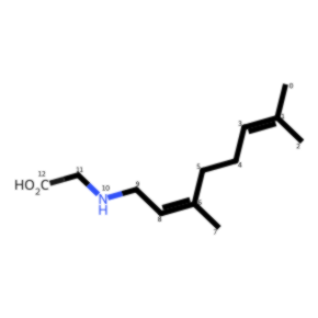 CC(C)=CCCC(C)=CCNCC(=O)O